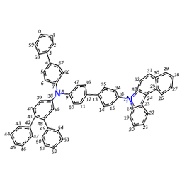 c1ccc(-c2ccc(N(c3ccc(-c4ccc(-n5c6ccccc6c6c7ccccc7ccc65)cc4)cc3)c3ccc(-c4ccccc4)c(-c4ccccc4)c3)cc2)cc1